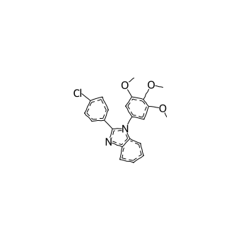 COc1cc(-n2c(-c3ccc(Cl)cc3)nc3ccccc32)cc(OC)c1OC